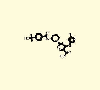 Cn1cc(Nc2nc(N3CCC[C@@H](NC(=O)c4ccc(C(C)(C)O)cc4)C3)nnc2C(N)=O)cn1